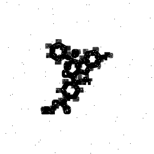 CCCC1(C(=O)C2Cc3cc(F)ccc3N2S(=O)(=O)c2ccccc2)CCN(C(=O)OC(C)(C)C)CC1